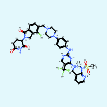 CN(c1ncccc1CNc1nc(Nc2ccc(N3CCN(Cc4ccc5c(c4F)CN(C4CCC(=O)NC4=O)C5=O)CC3)cc2)ncc1C(F)(F)F)S(C)(=O)=O